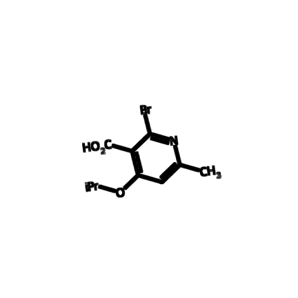 Cc1cc(OC(C)C)c(C(=O)O)c(Br)n1